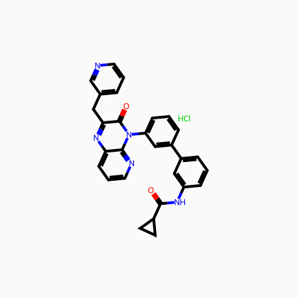 Cl.O=C(Nc1cccc(-c2cccc(-n3c(=O)c(Cc4cccnc4)nc4cccnc43)c2)c1)C1CC1